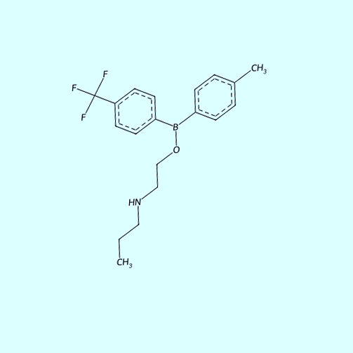 CCCNCCOB(c1ccc(C)cc1)c1ccc(C(F)(F)F)cc1